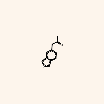 CC(=O)Cc1ccc2co[c]c2c1